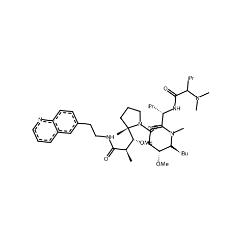 CC[C@H](C)C([C@@H](CC(=O)N1CCC[C@@]1(C)[C@H](OC)[C@@H](C)C(=O)NCCc1ccc2ncccc2c1)OC)N(C)C(=O)[C@@H](NC(=O)C(C(C)C)N(C)C)C(C)C